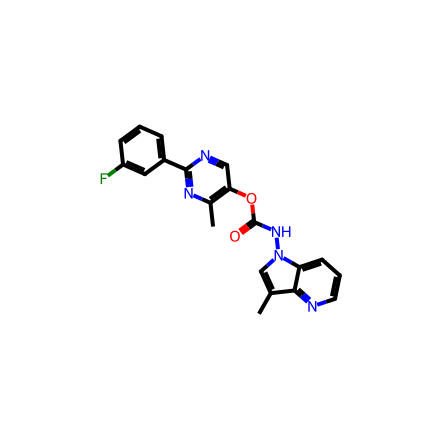 Cc1nc(-c2cccc(F)c2)ncc1OC(=O)Nn1cc(C)c2ncccc21